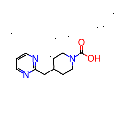 O=C(O)N1CCC(Cc2ncccn2)CC1